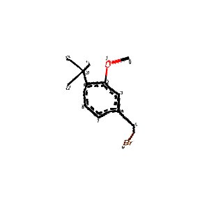 COc1cc(CBr)ccc1C(C)(C)C